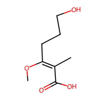 COC(CCCO)=C(C)C(=O)O